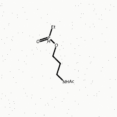 CC[PH](=O)OCCCNC(C)=O